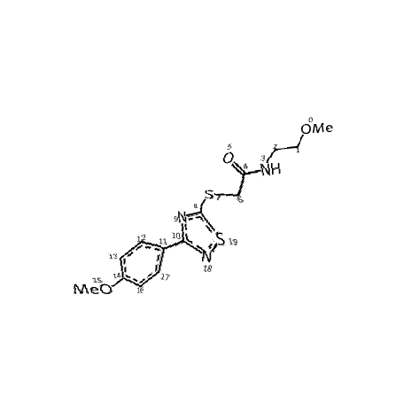 COCCNC(=O)CSc1nc(-c2ccc(OC)cc2)ns1